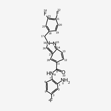 Nc1cc(F)ccc1NC(=O)c1ccc2nn(Cc3ccc(F)c(F)c3)cc2c1